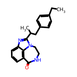 CCc1ccc(CC(C)c2nc3cccc4c3n2CCNC4=O)cc1